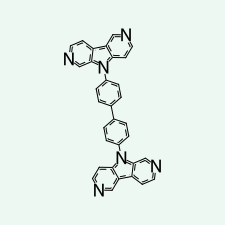 c1cc2c(cn1)c1ccncc1n2-c1ccc(-c2ccc(-n3c4ccncc4c4ccncc43)cc2)cc1